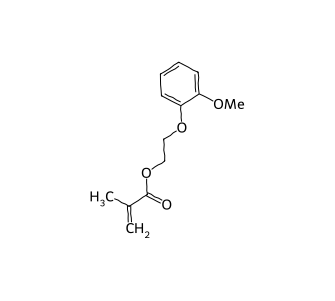 C=C(C)C(=O)OCCOc1ccccc1OC